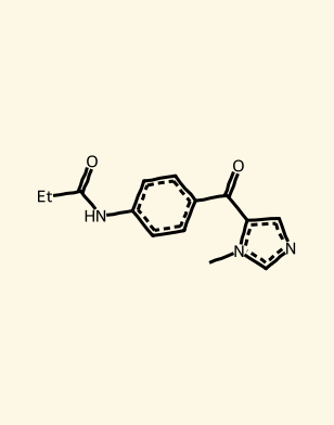 CCC(=O)Nc1ccc(C(=O)c2cncn2C)cc1